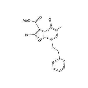 COC(=O)c1c(Br)oc2c(CCc3ccccc3)cn(C)c(=O)c12